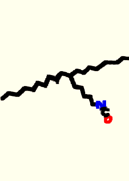 CCCCCCCC[CH]CC(CCCCCCCC)CCCCCN=C=O